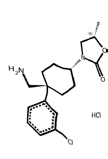 C[C@H]1CN([C@H]2CC[C@@](CN)(c3cccc(Cl)c3)CC2)C(=O)O1.Cl